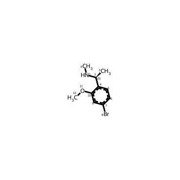 CN[C@@H](C)c1ccc(Br)cc1OC